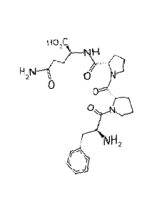 NC(=O)CC[C@H](NC(=O)[C@@H]1CCCN1C(=O)[C@@H]1CCCN1C(=O)[C@@H](N)Cc1ccccc1)C(=O)O